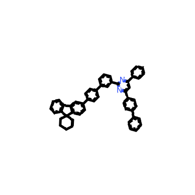 c1ccc(-c2ccc(-c3cc(-c4ccccc4)nc(-c4cccc(-c5ccc(-c6ccc7c(c6)-c6ccccc6C76CCCCC6)cc5)c4)n3)cc2)cc1